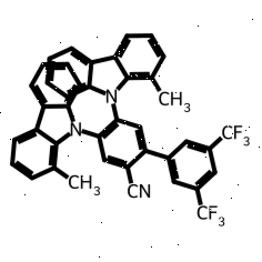 Cc1cccc2c3ccccc3n(-c3cc(C#N)c(-c4cc(C(F)(F)F)cc(C(F)(F)F)c4)cc3-n3c4ccccc4c4cccc(C)c43)c12